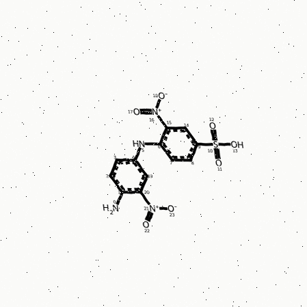 Nc1ccc(Nc2ccc(S(=O)(=O)O)cc2[N+](=O)[O-])cc1[N+](=O)[O-]